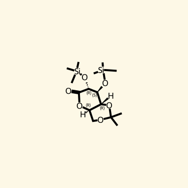 CC1(C)OC[C@H]2OC(=O)[C@H](O[Si](C)(C)C)[C@@H](O[Si](C)(C)C)[C@@H]2O1